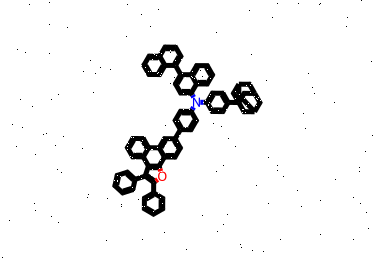 c1ccc(-c2oc3c4ccc(-c5ccc(N(c6ccc(C78CC9CC(CC(C9)C7)C8)cc6)c6ccc(-c7cccc8ccccc78)c7ccccc67)cc5)cc4c4ccccc4c3c2-c2ccccc2)cc1